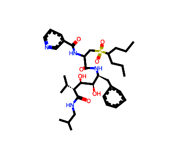 CCCC(CCC)S(=O)(=O)CC(NC(=O)c1cccnc1)C(=O)N[C@@H](Cc1ccccc1)[C@@H](O)[C@H](O)[C@H](C(=O)NCC(C)C)C(C)C